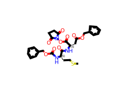 CSCC[C@H](NC(=O)OCc1ccccc1)C(=O)N[C@@H](CC(=O)OCc1ccccc1)C(=O)ON1C(=O)CCC1=O